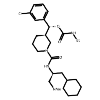 CCNC(=O)O[C@@H](c1cccc(Cl)c1)[C@@H]1CCCN(C(=O)N[C@H](CNC)CC2CCCCC2)C1